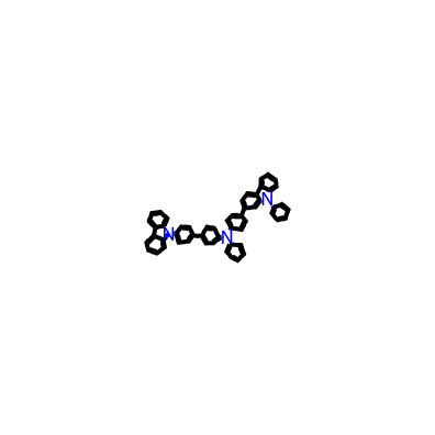 c1ccc(N(c2ccc(-c3ccc(-n4c5ccccc5c5ccccc54)cc3)cc2)c2ccc(-c3ccc4c5ccccc5n(-c5ccccc5)c4c3)cc2)cc1